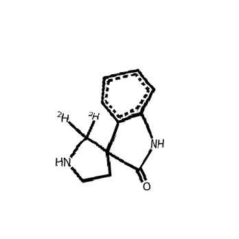 [2H]C1([2H])NCCC12C(=O)Nc1ccccc12